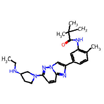 CCN[C@@H]1CCN(c2ccc3nc(-c4ccc(C)c(NC(=O)C(C)(C)C)c4)cn3n2)C1